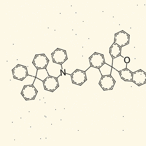 c1ccc(N(c2cccc(-c3cccc4c3-c3ccccc3C43c4ccc5ccccc5c4Oc4c3ccc3ccccc43)c2)c2cccc3c2-c2ccccc2C3(c2ccccc2)c2ccccc2)cc1